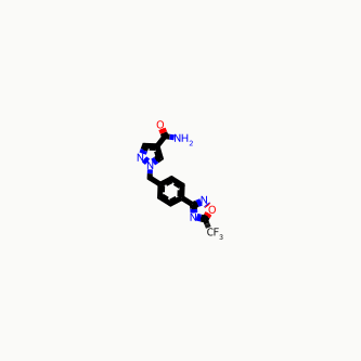 NC(=O)c1cnn(Cc2ccc(-c3noc(C(F)(F)F)n3)cc2)c1